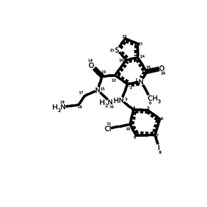 Cn1c(Nc2ccc(I)cc2Cl)c(C(=O)N(N)CCN)c2sccc2c1=O